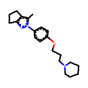 Cc1c2c(nn1-c1ccc(OCCCN3CCCCC3)cc1)CCC2